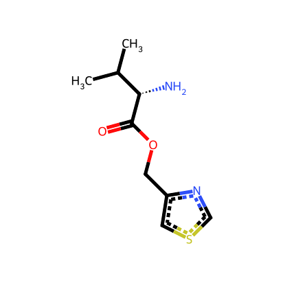 CC(C)[C@H](N)C(=O)OCc1cscn1